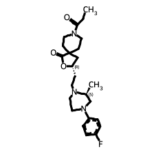 CCC(=O)N1CCC2(CC1)C[C@H](CCN1CCN(c3ccc(F)cc3)C[C@@H]1C)OC2=O